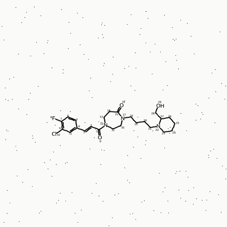 O=C(/C=C/c1ccc(F)c(Cl)c1)N1CCC(=O)N(CCCCN2CCCCC2CO)CC1